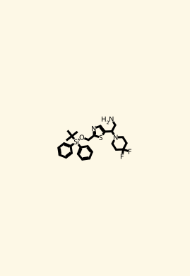 CC(C)(C)[Si](OCc1ncc(C(CN)N2CCC(F)(F)CC2)s1)(c1ccccc1)c1ccccc1